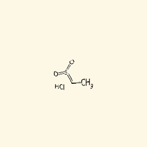 CC=S(=O)=O.Cl